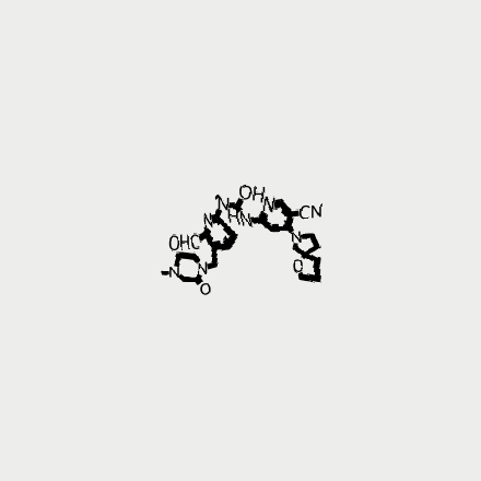 CN1CCN(Cc2ccc(N(C)C(O)Nc3cc(N4CCC5(CCCO5)C4)c(C#N)cn3)nc2C=O)C(=O)C1